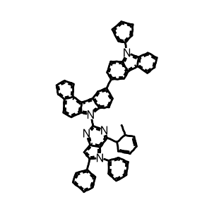 CC1C=CC=CC1c1nc(-n2c3ccc(-c4ccc5c(c4)c4ccccc4n5-c4ccccc4)cc3c3c4ccccc4ccc32)nc2cc(-c3ccccc3)n(-c3ccccc3)c12